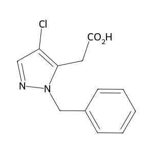 O=C(O)Cc1c(Cl)cnn1Cc1ccccc1